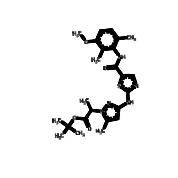 COc1ccc(C)c(NC(=O)c2cnc(Nc3cc(C)n(C(C)C(=O)OC(C)(C)C)n3)s2)c1C